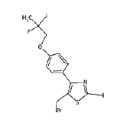 CC(C)Cc1sc(I)nc1-c1ccc(OCC(C)(F)I)cc1